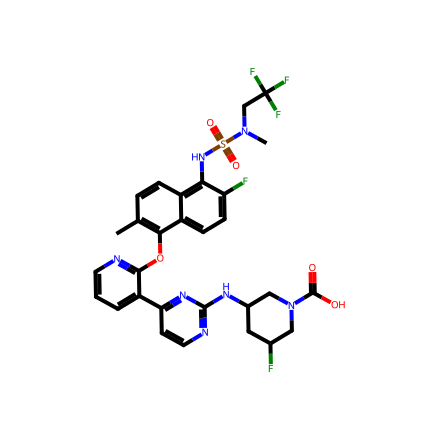 Cc1ccc2c(NS(=O)(=O)N(C)CC(F)(F)F)c(F)ccc2c1Oc1ncccc1-c1ccnc(NC2CC(F)CN(C(=O)O)C2)n1